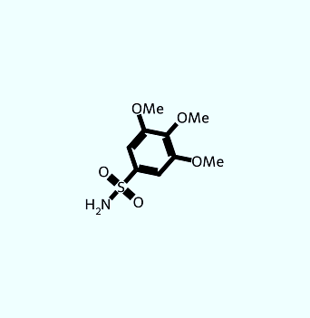 COc1cc(S(N)(=O)=O)cc(OC)c1OC